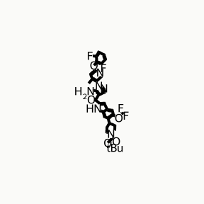 Cc1cc(Oc2c(F)cccc2F)ncc1-n1ncc(C(=O)c2cc3cc(OC(F)F)c(C4CCN(C(=O)OC(C)(C)C)CC4)cc3[nH]2)c1N